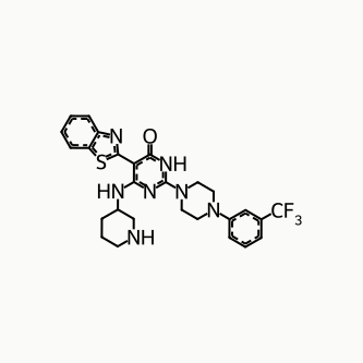 O=c1[nH]c(N2CCN(c3cccc(C(F)(F)F)c3)CC2)nc(NC2CCCNC2)c1-c1nc2ccccc2s1